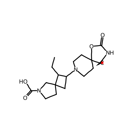 CCC1C(N2CCC3(CC2)OC(=O)NC32CCCC2)CC12CCN(C(=O)O)C2